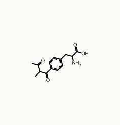 CC(=O)C(C)C(=O)c1ccc(CC(N)C(=O)O)cc1